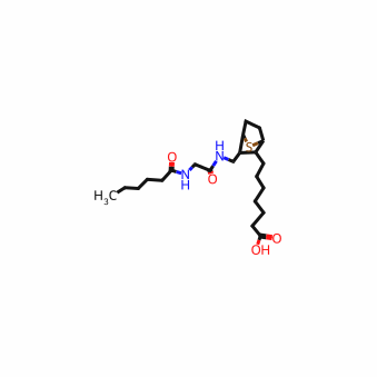 CCCCCC(=O)NCC(=O)NCC1C2CCC(S2)C1CCCCCCC(=O)O